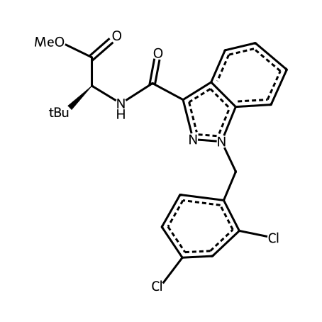 COC(=O)[C@@H](NC(=O)c1nn(Cc2ccc(Cl)cc2Cl)c2ccccc12)C(C)(C)C